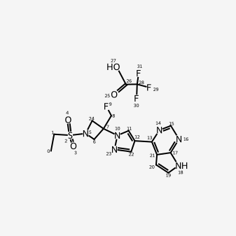 CCS(=O)(=O)N1CC(CF)(n2cc(-c3ncnc4[nH]ccc34)cn2)C1.O=C(O)C(F)(F)F